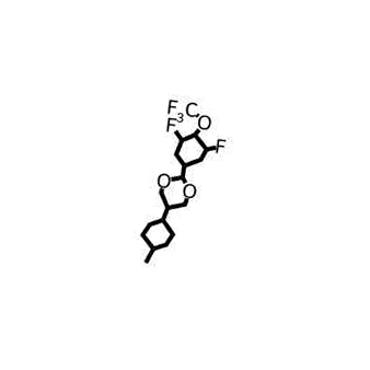 CC1CCC(C2COC(C3CC(F)C(OC(F)(F)F)C(F)C3)OC2)CC1